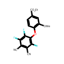 CCOC(=O)c1ccc(Oc2c(F)c(F)c(C#N)c(C#N)c2F)c(OC)c1